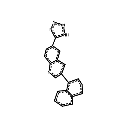 c1ccc2c(-c3cnc4ccc(-c5nnn[nH]5)cc4c3)cccc2c1